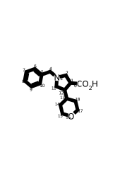 O=C(O)C1CN(Cc2ccccc2)CC1C1CCOCC1